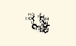 Cc1nc(C(=O)N[C@H](C)C(F)(F)F)nc2c1N1CC[C@@H](C1)N2C(=O)Nc1cc(OC[C@H](O)CO)ccn1